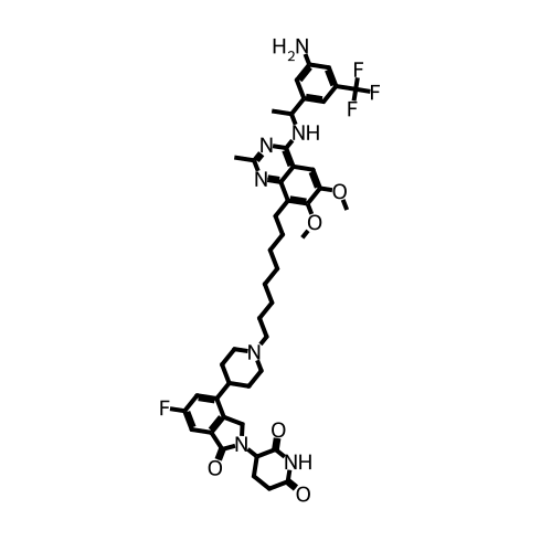 COc1cc2c(NC(C)c3cc(N)cc(C(F)(F)F)c3)nc(C)nc2c(CCCCCCCCN2CCC(c3cc(F)cc4c3CN(C3CCC(=O)NC3=O)C4=O)CC2)c1OC